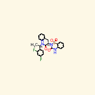 C[C@@H](NC(=O)[C@@H](Cc1ccccc1)N1C(=O)Nc2ccccc2S1(=O)=O)c1ccc(F)cc1F